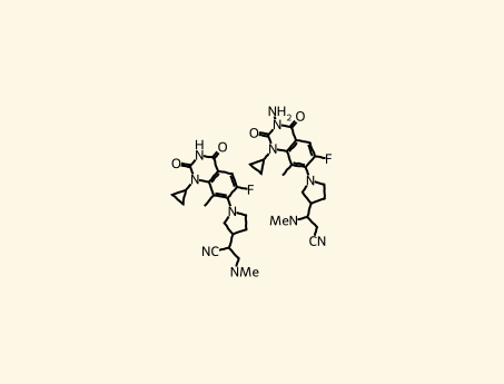 CNC(CC#N)C1CCN(c2c(F)cc3c(=O)n(N)c(=O)n(C4CC4)c3c2C)C1.CNCC(C#N)C1CCN(c2c(F)cc3c(=O)[nH]c(=O)n(C4CC4)c3c2C)C1